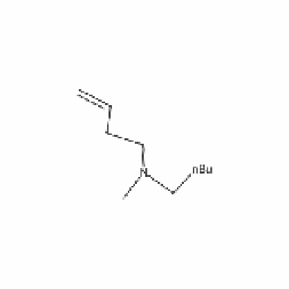 C=CCCN(C)CCCCC